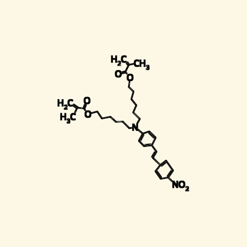 C=C(C)C(=O)OCCCCCCN(CCCCCCOC(=O)C(=C)C)c1ccc(C=Cc2ccc([N+](=O)[O-])cc2)cc1